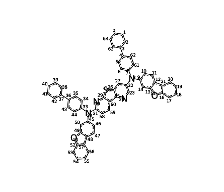 c1ccc(-c2ccc(N(c3ccc4c(c3)oc3ccccc34)c3cnc4c(c3)sc3nc(N(c5ccc(-c6ccccc6)cc5)c5ccc6c(c5)oc5ccccc56)ccc34)cc2)cc1